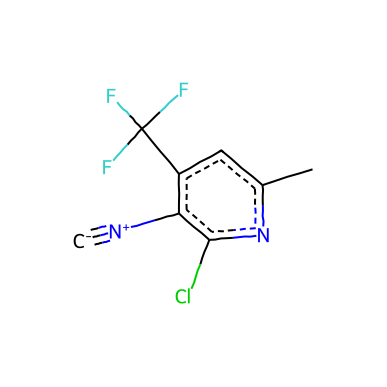 [C-]#[N+]c1c(C(F)(F)F)cc(C)nc1Cl